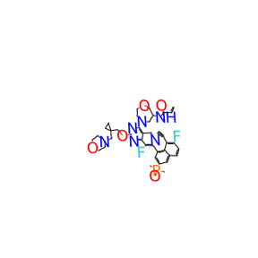 C#Cc1c(F)ccc2cc(P(C)(C)=O)cc(-c3ncc4c(N5CCOCC(NC(=O)C=C)C5)nc(OCC5(CN6CCOCC6)CC5)nc4c3F)c12